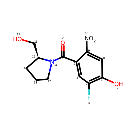 O=C(c1cc(F)c(O)cc1[N+](=O)[O-])N1CCC[C@H]1CO